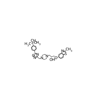 Cc1nc2cc(OC[C@H](O)CN3CCN(Cc4noc(-c5ccc(C(C)(C)C)cc5)n4)CC3)ccc2s1